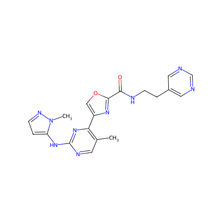 Cc1cnc(Nc2ccnn2C)nc1-c1coc(C(=O)NCCc2cncnc2)n1